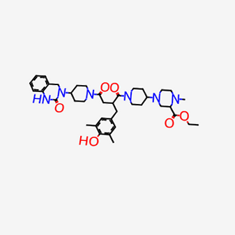 CCOC(=O)C1CN(C2CCN(C(=O)C(CC(=O)N3CCC(N4Cc5ccccc5NC4=O)CC3)Cc3cc(C)c(O)c(C)c3)CC2)CCN1C